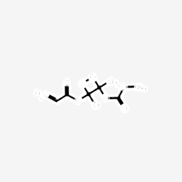 C=CC(=O)OC1(CC)OOC1(C)OC(=O)OC(C)(C)C